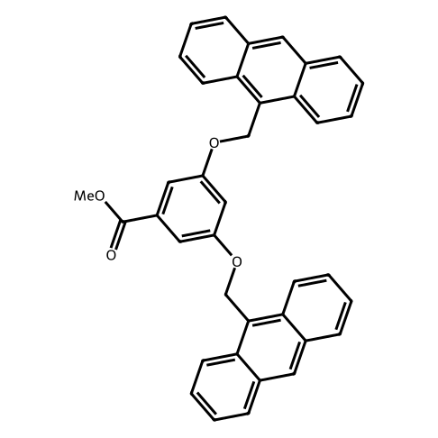 COC(=O)c1cc(OCc2c3ccccc3cc3ccccc23)cc(OCc2c3ccccc3cc3ccccc23)c1